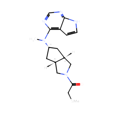 CSCC(=O)N1C[C@H]2C[C@H](N(C)c3ncnc4[nH]ccc34)C[C@H]2C1